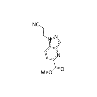 COC(=O)c1ccc2c(cnn2CCC#N)n1